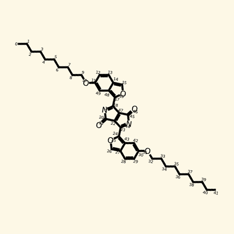 CCCCCCCCCCOc1ccc2coc(-c3nc(=O)c4c(-c5occ6ccc(OCCCCCCCCCC)cc56)nc(=O)c3=4)c2c1